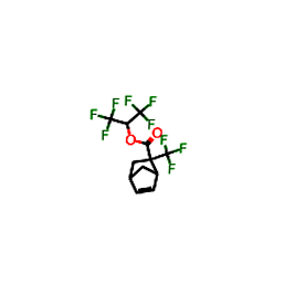 O=C(OC(C(F)(F)F)C(F)(F)F)C1(C(F)(F)F)CC2C=CC1C2